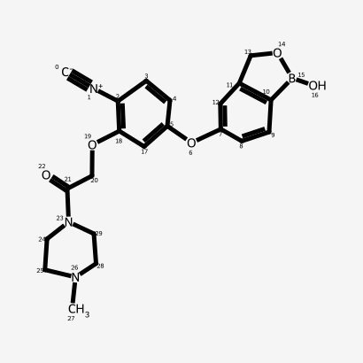 [C-]#[N+]c1ccc(Oc2ccc3c(c2)COB3O)cc1OCC(=O)N1CCN(C)CC1